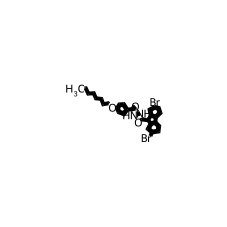 CCCCCCCCOc1ccc(C(=O)NNC(=O)C2c3cc(Br)ccc3-c3ccc(Br)cc32)cc1